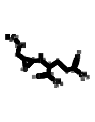 CNCC1OC1NC(CCC(C)=O)C(C)=O